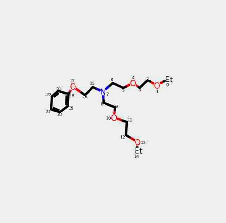 CCOCCOCCN(CCOCCOCC)CCOc1ccccc1